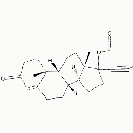 C[C@]12CCC(=O)C=C1CC[C@@H]1[C@H]2CC[C@@]2(C)[C@H]1CCC2(C#CBr)OC=O